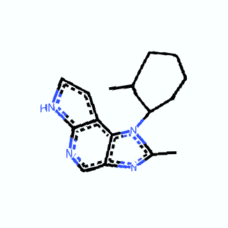 Cc1nc2cnc3[nH]ccc3c2n1C1CCCCC1C